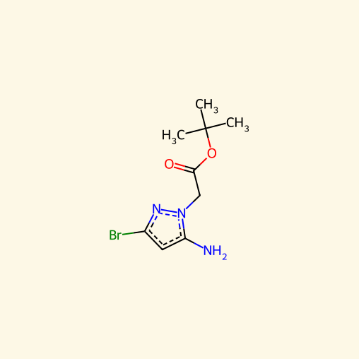 CC(C)(C)OC(=O)Cn1nc(Br)cc1N